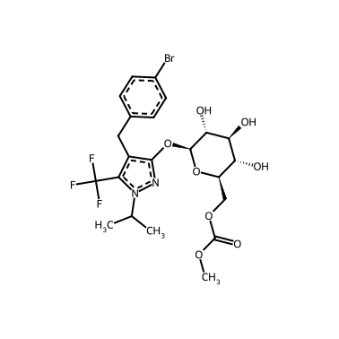 COC(=O)OC[C@H]1O[C@@H](Oc2nn(C(C)C)c(C(F)(F)F)c2Cc2ccc(Br)cc2)[C@H](O)[C@@H](O)[C@@H]1O